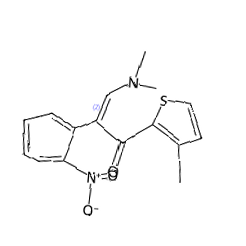 Cc1ccsc1C(=O)/C(=C\N(C)C)c1ccccc1[N+](=O)[O-]